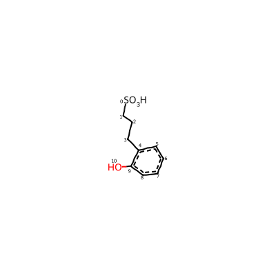 O=S(=O)(O)CCCc1ccccc1O